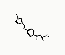 COC(=O)CN(C)c1ccc(/C=C/c2ccn(C)c2)cc1